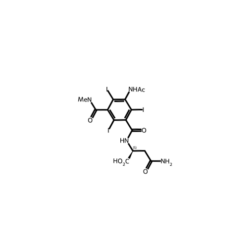 CNC(=O)c1c(I)c(NC(C)=O)c(I)c(C(=O)N[C@@H](CC(N)=O)C(=O)O)c1I